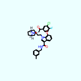 COc1cccc2c(C(=O)NCc3cccc(C)c3)cn(CCCN3[C@@H]4CC[C@H]3C[C@H](CC(=O)c3ccc(F)c(Cl)c3)C4)c12